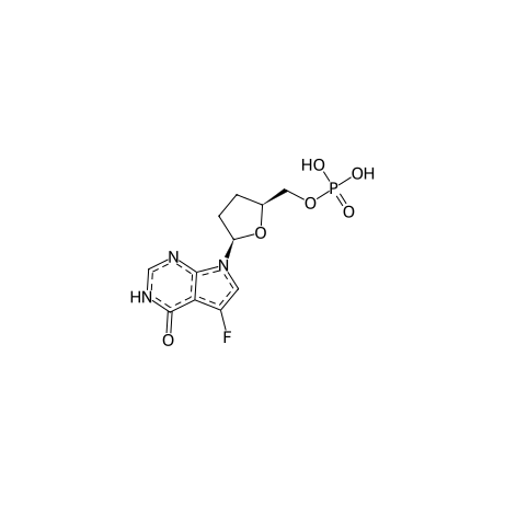 O=c1[nH]cnc2c1c(F)cn2[C@H]1CC[C@@H](COP(=O)(O)O)O1